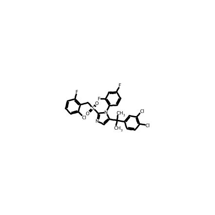 CC(C)(c1ccc(Cl)c(Cl)c1)c1cnc(S(=O)(=O)Cc2c(F)cccc2Cl)n1-c1ccc(F)cc1F